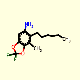 CCCCCCc1c(N)cc2c(c1C)OC(F)(F)O2